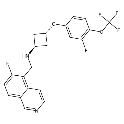 Fc1cc(O[C@H]2C[C@H](NCc3c(F)ccc4cnccc34)C2)ccc1OC(F)(F)F